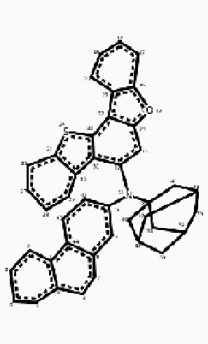 c1ccc2c(c1)ccc1cc(N(c3cc4oc5ccccc5c4c4sc5ccccc5c34)C34CC5CC(CC(C5)C3)C4)ccc12